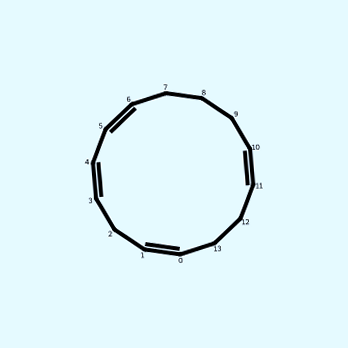 [C]1=CCC=CC=CCCCC=CCC1